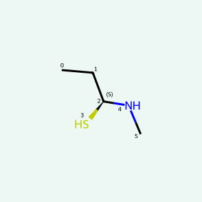 CC[C@H](S)NC